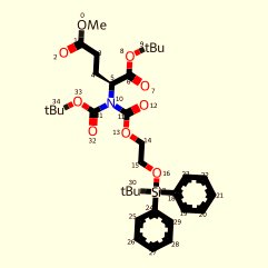 COC(=O)CC[C@@H](C(=O)OC(C)(C)C)N(C(=O)OCCO[Si](c1ccccc1)(c1ccccc1)C(C)(C)C)C(=O)OC(C)(C)C